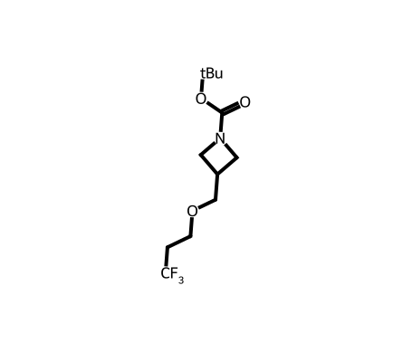 CC(C)(C)OC(=O)N1CC(COCCC(F)(F)F)C1